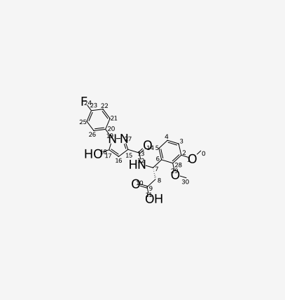 COc1cccc([C@H](CC(=O)O)NC(=O)c2cc(O)n(-c3ccc(F)cc3)n2)c1OC